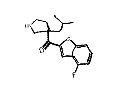 CC(C)CC1(C(=O)c2cc3c(F)cccc3s2)CCNC1